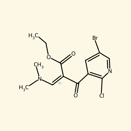 CCOC(=O)/C(=C\N(C)C)C(=O)c1cc(Br)cnc1Cl